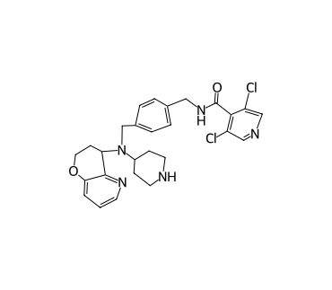 O=C(NCc1ccc(CN(C2CCNCC2)C2CCOc3cccnc32)cc1)c1c(Cl)cncc1Cl